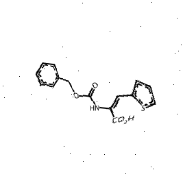 O=C(NC(=Cc1cccs1)C(=O)O)OCc1ccccc1